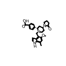 COc1cc(C)c2[nH]ccc2c1CN1CC[C@H](N2CCCC2=O)C[C@H]1c1ccc(C(=O)O)cc1